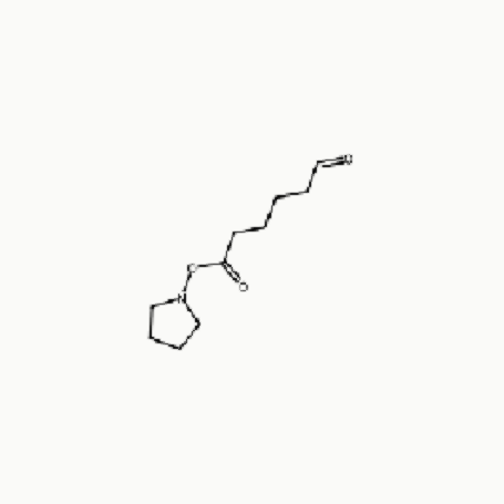 O=CCCCCC(=O)ON1CCCC1